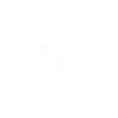 O=C(c1ccc(OCC(F)(F)F)nc1)N1CCc2cnc(N3CCN(C4CCC4)CC3)nc2CC1